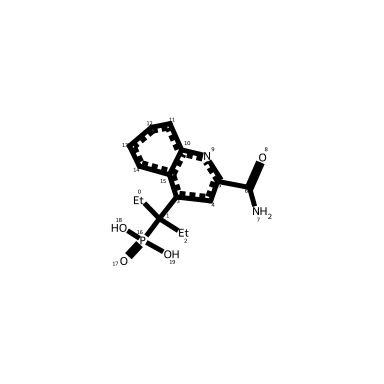 CCC(CC)(c1cc(C(N)=O)nc2ccccc12)P(=O)(O)O